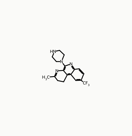 CC1=Nc2c(N3CCNCC3)nc3ccc(C(F)(F)F)cc3c2CC1